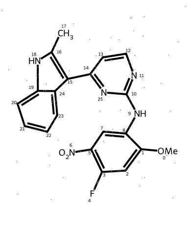 COc1cc(F)c([N+](=O)[O-])cc1Nc1nccc(-c2c(C)[nH]c3ccccc23)n1